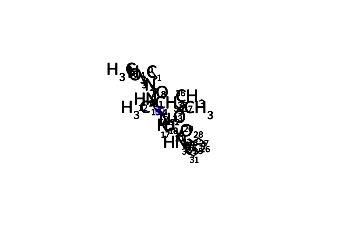 CCN(CCOC)C(=O)NC(C)(C)/C=C/n1ncc(C(=O)NC2C3CC4CC(C3)CC2C4)c1OCC(C)C